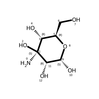 N[C@]1(O)[C@H](O)[C@@H](CO)O[C@H](O)[C@@H]1O